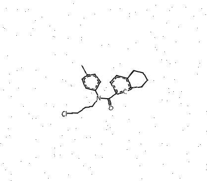 Cc1ccc(N(CCCCl)C(=O)c2ccc3c(c2)CCCC3)cc1